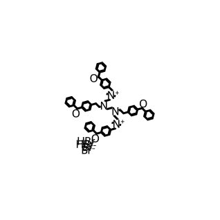 Br.Br.C[N+](C)(CCN(CCc1ccc(C(=O)c2ccccc2)cc1)CCN(CCc1ccc(C(=O)c2ccccc2)cc1)CC[N+](C)(C)Cc1ccc(C(=O)c2ccccc2)cc1)Cc1ccc(C(=O)c2ccccc2)cc1.[Br-].[Br-]